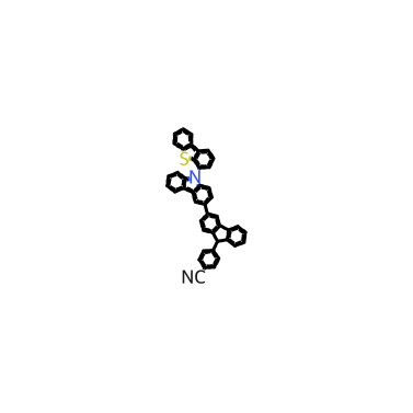 N#Cc1ccc(C2c3ccccc3-c3cc(-c4ccc5c(c4)c4ccccc4n5-c4cccc5c4sc4ccccc45)ccc32)cc1